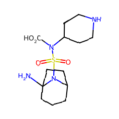 NC12CCCC(CC1)N2S(=O)(=O)N(C(=O)O)C1CCNCC1